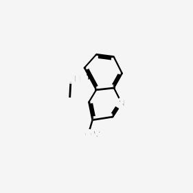 CC=O.COc1cnc2ccccc2c1